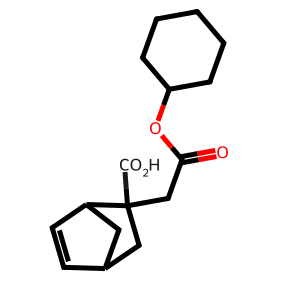 O=C(CC1(C(=O)O)CC2C=CC1C2)OC1CCCCC1